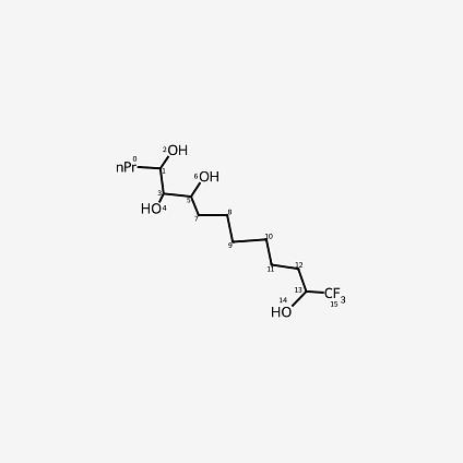 CCCC(O)C(O)C(O)CCCCCCC(O)C(F)(F)F